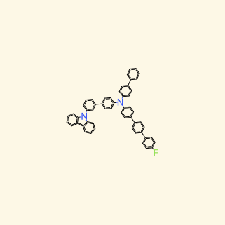 Fc1ccc(-c2ccc(-c3ccc(N(c4ccc(-c5ccccc5)cc4)c4ccc(-c5cccc(-n6c7ccccc7c7ccccc76)c5)cc4)cc3)cc2)cc1